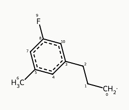 [CH2]CCc1cc(C)cc(F)c1